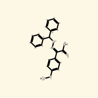 COc1ccc(C(=NOC(c2ccccc2)c2ccccc2)C(=O)O)cc1